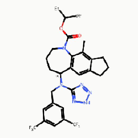 CCC(OC(=O)N1CCC[C@H](N(Cc2cc(C(F)(F)F)cc(C(F)(F)F)c2)c2nn[nH]n2)c2cc3c(c(C)c21)CCC3)C(C)C